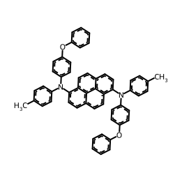 Cc1ccc(N(c2ccc(Oc3ccccc3)cc2)c2ccc3ccc4c(N(c5ccc(C)cc5)c5ccc(Oc6ccccc6)cc5)ccc5ccc2c3c54)cc1